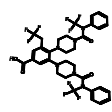 O=C(O)c1cc(CC(F)(F)F)c(N2CCN(C(=O)N(c3ccccc3)C(F)(F)F)CC2)c(N2CCN(C(=O)N(c3ccccc3)C(F)(F)F)CC2)c1